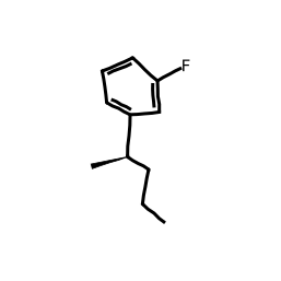 CCC[C@@H](C)c1cccc(F)c1